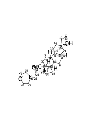 C[C@]12CC[C@H]3[C@@H](CC[C@H]4C[C@@](O)(CF)CC[C@@H]43)[C@@H]1CC[C@@H]2C(=O)CN1CCOCC1